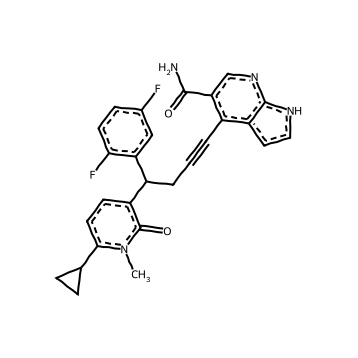 Cn1c(C2CC2)ccc(C(CC#Cc2c(C(N)=O)cnc3[nH]ccc23)c2cc(F)ccc2F)c1=O